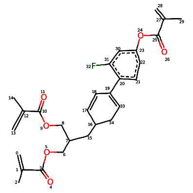 C=C(C)C(=O)OCC(COC(=O)C(=C)C)CC1C=CC(c2ccc(OC(=O)C(=C)C)cc2F)=CC1